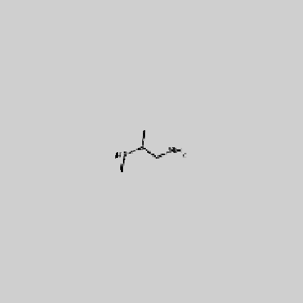 CBC(C)CN